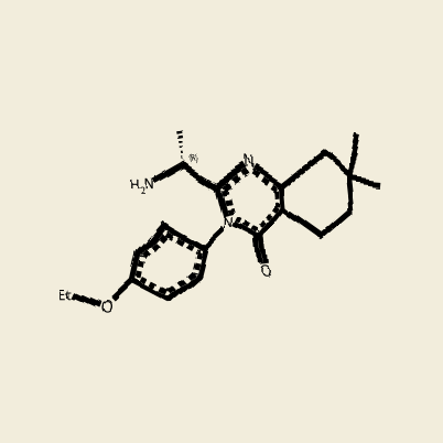 CCOc1ccc(-n2c([C@@H](C)N)nc3c(c2=O)CCC(C)(C)C3)cc1